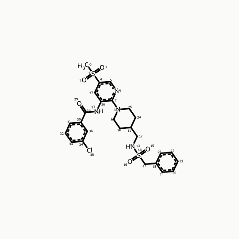 CS(=O)(=O)c1cnc(N2CCC(CNS(=O)(=O)Cc3ccccc3)CC2)c(NC(=O)c2cccc(Cl)c2)c1